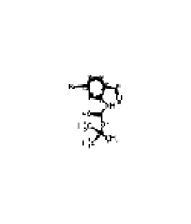 CC(C)(C)OC(=O)Nc1cc(Br)ccc1C=O